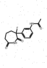 CC(=O)Nc1cccc(C2(F)CCCC(=O)NC2=O)c1